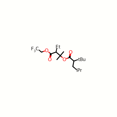 CCC(C(=O)OCC(F)(F)F)C(C)(C)OC(=O)C(CC(C)C)C(C)(C)C